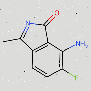 CC1=NC(=O)c2c1ccc(F)c2N